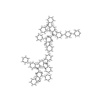 c1ccc(-c2ccc(-c3ccc4c(c3)c3cc5c6ccccc6n6c7ccccc7c(c3n4-c3nc(-c4ccccc4)c4oc7cc(-c8ccc9c(c8)c8cc%10c%11cc(-c%12ccccc%12)ccc%11n(-c%11nc(-c%12ccccc%12)c%12oc%13ccccc%13c%12n%11)c%10c%10c%11ccccc%11n9c8%10)ccc7c4n3)c56)cc2)cc1